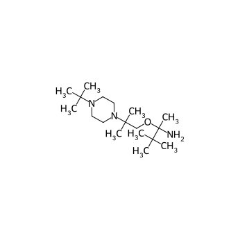 CC(C)(C)N1CCN(C(C)(C)COC(C)(N)C(C)(C)C)CC1